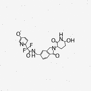 COc1ccc(C(F)(F)C(=O)NCc2ccc3c(c2)CN(C2CCC(O)NC2=O)C3=O)nc1